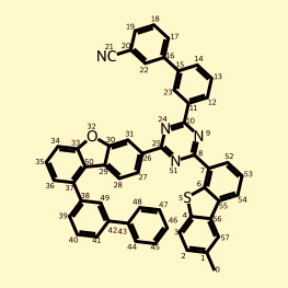 Cc1ccc2sc3c(-c4nc(-c5cccc(-c6cccc(C#N)c6)c5)nc(-c5ccc6c(c5)oc5cccc(-c7cccc(-c8ccccc8)c7)c56)n4)cccc3c2c1